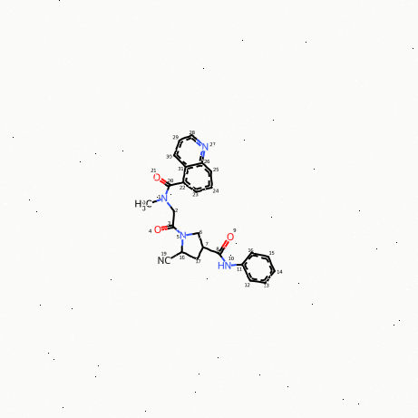 CN(CC(=O)N1CC(C(=O)Nc2ccccc2)CC1C#N)C(=O)c1cccc2ncccc12